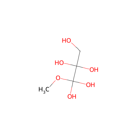 COC(O)(O)C(O)(O)CO